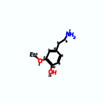 CCOc1cc(CCN)ccc1O